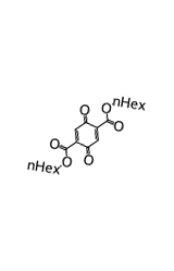 CCCCCCOC(=O)C1=CC(=O)C(C(=O)OCCCCCC)=CC1=O